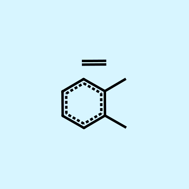 C=C.Cc1ccccc1C